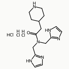 Cl.Cl.Cl.O=C(CC1CCNCC1)N(Cc1ncc[nH]1)Cc1ncc[nH]1